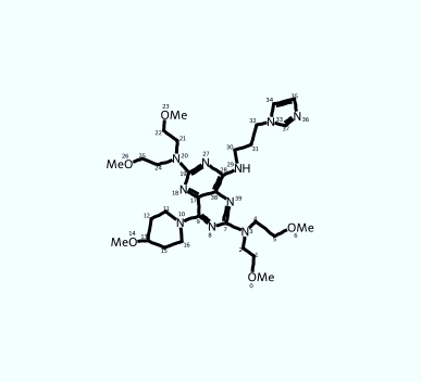 COCCN(CCOC)c1nc(N2CCC(OC)CC2)c2nc(N(CCOC)CCOC)nc(NCCCn3ccnc3)c2n1